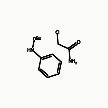 CCCCNc1ccccc1.NC(=O)CCl